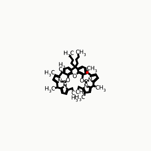 CCCCC1(CCCC)c2cccc(OP3n4c(CC)ccc4C(C)c4cc(C)c(CC)n43)c2Oc2c(OP3n4c(CC)ccc4C(C)c4cc(C)c(CC)n43)cccc21